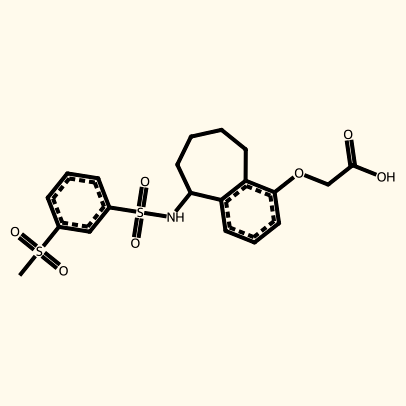 CS(=O)(=O)c1cccc(S(=O)(=O)NC2CCCCc3c(OCC(=O)O)cccc32)c1